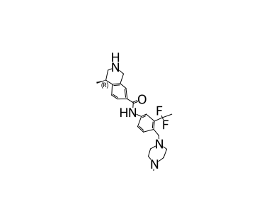 C[C@H]1CNCc2cc(C(=O)Nc3ccc(CN4CCN(C)CC4)c(C(C)(F)F)c3)ccc21